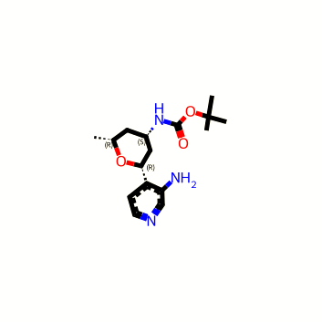 C[C@@H]1C[C@H](NC(=O)OC(C)(C)C)C[C@H](c2ccncc2N)O1